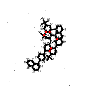 CC(C)(C)c1ccc(-c2ccccc2N(c2ccc(-c3ccc(-c4cccc5ccccc45)cc3)cc2)c2ccccc2-c2cccc3cccc(-c4cc(C(C)(C)C)cc(C(C)(C)C)c4)c23)cc1